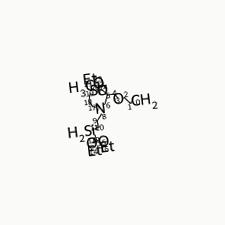 C=CCOCC1CN(CCC[SiH2]C(OCC)OCC)CCC[Si](C)(OCC)O1